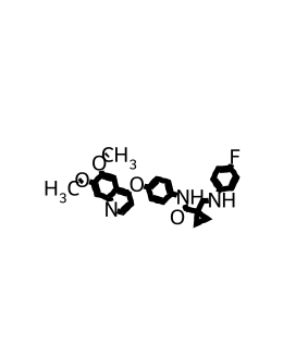 COc1cc2nccc(Oc3ccc(NC(=O)C4(CNc5ccc(F)cc5)CC4)cc3)c2cc1OC